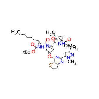 C=CCCCCC[C@H](NC(=O)OC(C)(C)C)C(=O)N1C[C@H](Oc2nc(-c3cc(C)nn3C)nc3ccsc23)C[C@H]1C(=O)N[C@]1(C(=O)OC)C[C@H]1C=C